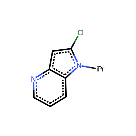 CC(C)n1c(Cl)cc2ncccc21